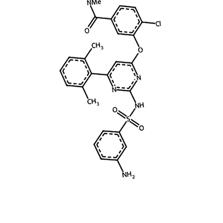 CNC(=O)c1ccc(Cl)c(Oc2cc(-c3c(C)cccc3C)nc(NS(=O)(=O)c3cccc(N)c3)n2)c1